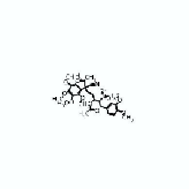 COc1ccc(CC(C(CCC(C#N)(c2cc(OC)c(OC)c(OC)c2OC)C(C)C)OC(C)=O)[N+](=O)[O-])cc1OC